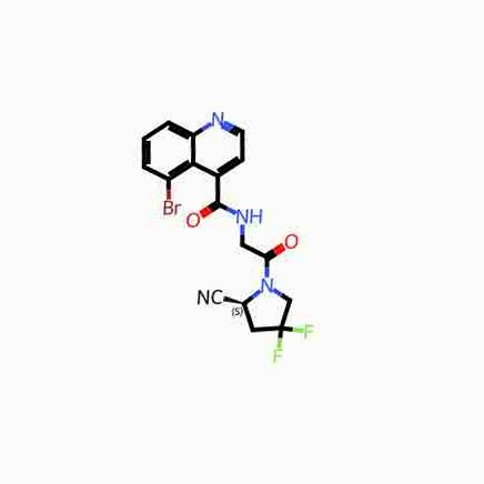 N#C[C@@H]1CC(F)(F)CN1C(=O)CNC(=O)c1ccnc2cccc(Br)c12